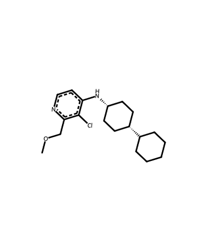 COCc1nccc(N[C@H]2CC[C@@H](C3CCCCC3)CC2)c1Cl